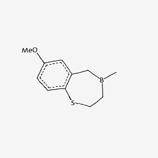 COc1ccc2c(c1)CB(C)CCS2